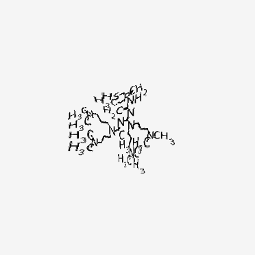 C=C(/N=C(\N=C(/C)N(CCCN(C)C)CCCN(C)C)N(CCCN(C)C)CCCN(C)C)NP(=C)(CC)CS